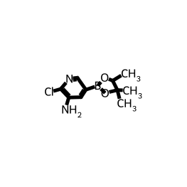 CC1OB(c2cnc(Cl)c(N)c2)OC1(C)C